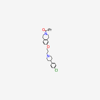 CC(C)C(=O)N1CCc2ccc(OCCCN3CCC(c4ccc(Cl)cc4)CC3)cc2CC1